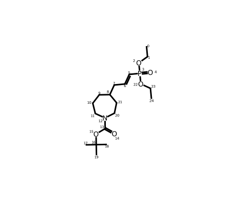 CCOP(=O)(/C=C/CC1CCCN(C(=O)OC(C)(C)C)CC1)OCC